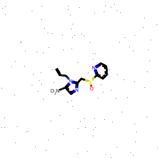 C=CCn1c([N+](=O)[O-])cnc1C[S+]([O-])c1ccccn1